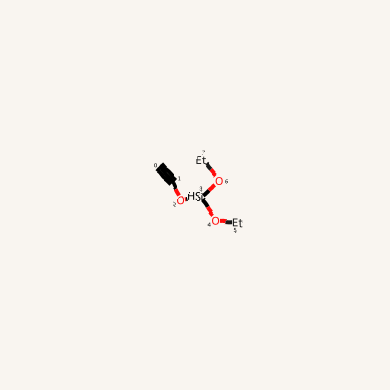 C#CO[SiH](OCC)OCC